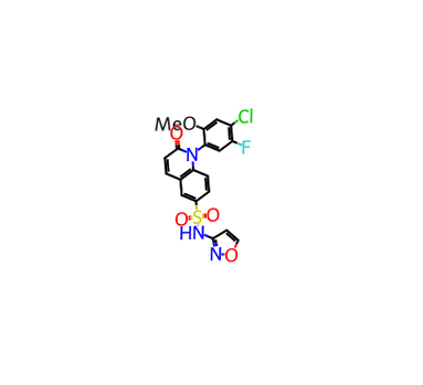 COc1cc(Cl)c(F)cc1-n1c(=O)ccc2cc(S(=O)(=O)Nc3ccon3)ccc21